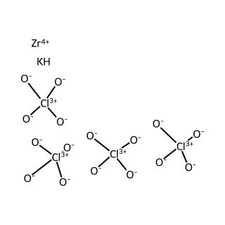 [KH].[O-][Cl+3]([O-])([O-])[O-].[O-][Cl+3]([O-])([O-])[O-].[O-][Cl+3]([O-])([O-])[O-].[O-][Cl+3]([O-])([O-])[O-].[Zr+4]